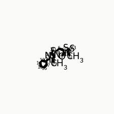 CN1C(=O)/C(=C\c2nc3c(nc(-c4ccccc4)n3C)s2)SC1=S